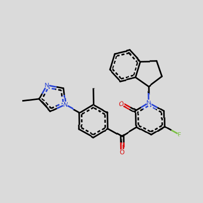 Cc1cn(-c2ccc(C(=O)c3cc(F)cn(C4CCc5ccccc54)c3=O)cc2C)cn1